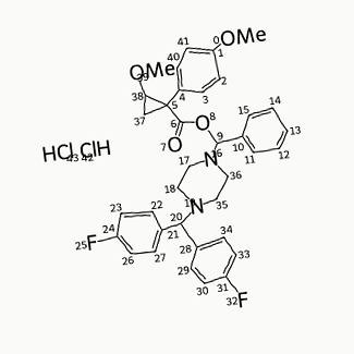 COc1ccc(C2(C(=O)OC(c3ccccc3)N3CCN(C(c4ccc(F)cc4)c4ccc(F)cc4)CC3)CC2OC)cc1.Cl.Cl